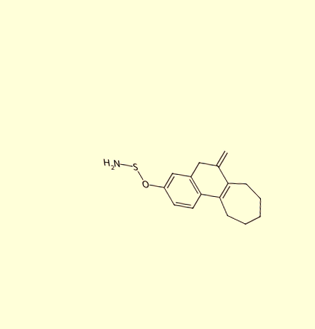 C=C1Cc2cc(OSN)ccc2C2=C1CCCCC2